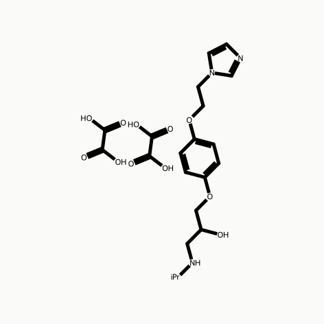 CC(C)NCC(O)COc1ccc(OCCn2ccnc2)cc1.O=C(O)C(=O)O.O=C(O)C(=O)O